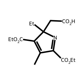 CCOC(=O)C1=NC(CC)(CC(=O)O)C(C(=O)OCC)=C1C